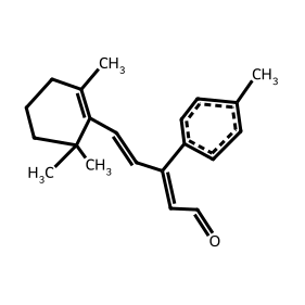 CC1=C(C=CC(=CC=O)c2ccc(C)cc2)C(C)(C)CCC1